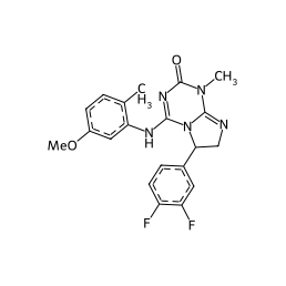 COc1ccc(C)c(NC2=NC(=O)N(C)C3=NCC(c4ccc(F)c(F)c4)N23)c1